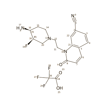 N#Cc1ccc2ccc(=O)n(CCN3CC[C@H](N)[C@H](F)C3)c2c1.O=C(O)C(F)(F)F